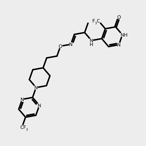 CC(C=NOCCC1CCN(c2ncc(C(F)(F)F)cn2)CC1)Nc1cn[nH]c(=O)c1C(F)(F)F